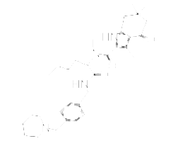 CCCCC(NC(=O)c1[nH]c2c(c1C)C(=O)CC(C)(C)C2)C(=O)NCc1ccc(CN2CCCCC2)cc1